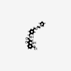 CCOc1cccc2c(=O)c(C(=O)NCc3ccc(COCCN4CCCC4)cc3)c[nH]c12